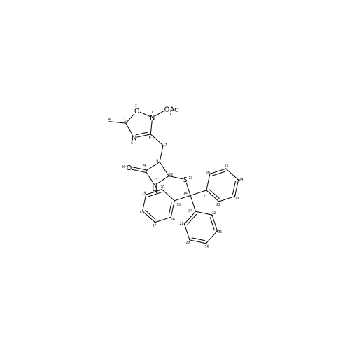 CC(=O)ON1OC(C)N=C1CC1C(=O)NC1SC(c1ccccc1)(c1ccccc1)c1ccccc1